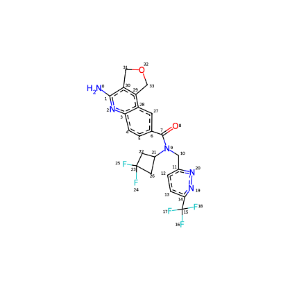 Nc1nc2ccc(C(=O)N(Cc3ccc(C(F)(F)F)nn3)C3CC(F)(F)C3)cc2c2c1COC2